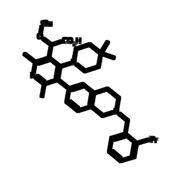 Cc1nc(C)c(C(OC(C)(C)C)C(=O)O)c(N2CCC(C)(C)CC2)c1-c1ccc2c(c1)CCN(Cc1ccccc1C(C)C)C2